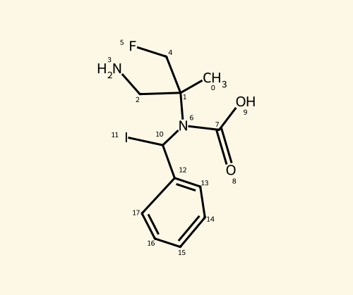 CC(CN)(CF)N(C(=O)O)C(I)c1ccccc1